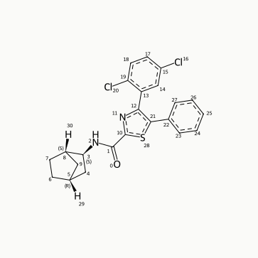 O=C(N[C@H]1C[C@@H]2CC[C@H]1C2)c1nc(-c2cc(Cl)ccc2Cl)c(-c2ccccc2)s1